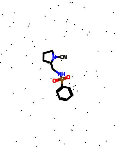 N#CN1CCCC1CNS(=O)(=O)c1ccccc1